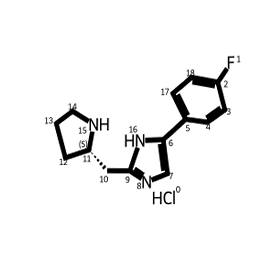 Cl.Fc1ccc(-c2cnc(C[C@@H]3CCCN3)[nH]2)cc1